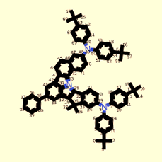 CC(C)(C)c1ccc(N(c2ccc(C(C)(C)C)cc2)c2ccc3c(c2)C(C)(C)c2c-3n3c4c2cc(-c2ccccc2)cc4c2ccc4cc(N(c5ccc(C(C)(C)C)cc5)c5ccc(C(C)(C)C)cc5)ccc4c23)cc1